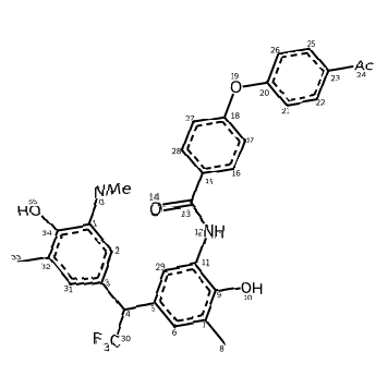 CNc1cc(C(c2cc(C)c(O)c(NC(=O)c3ccc(Oc4ccc(C(C)=O)cc4)cc3)c2)C(F)(F)F)cc(C)c1O